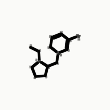 CCN1CCCC1CN1C=C(Br)C=CC1